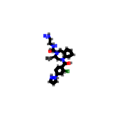 C[C@@H]1CN(C(=O)c2ccc(-n3cccn3)cc2Cl)c2ccccc2CN1C(=O)NCCN